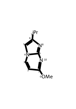 COc1ccn2cc(C(C)C)nc2n1